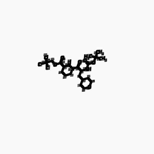 CC(C)(C)OC(=O)NC(CC1CCOCC1)C(=O)N1CCCC(C(=O)OCC(Cl)(Cl)Cl)N1